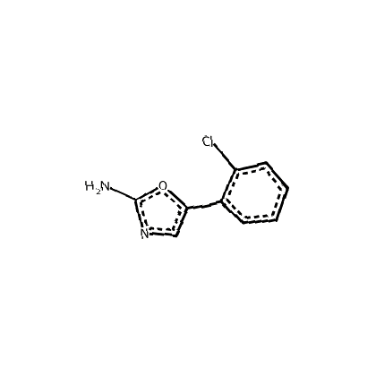 Nc1ncc(-c2ccccc2Cl)o1